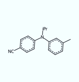 Cc1cccc(N(c2ccc(C#N)cc2)C(C)C)c1